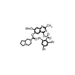 COc1cc2nc(C)nc(OS(=O)(=O)c3c(C(C)C)cc(C(C)C)cc3C(C)C)c2cc1OC(=O)N1CCN2CCCC2C1